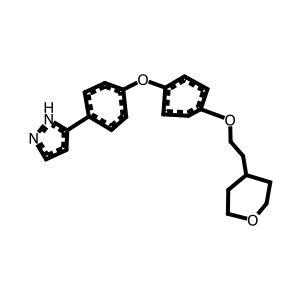 c1cc(-c2ccc(Oc3ccc(OCCC4CCOCC4)cc3)cc2)[nH]n1